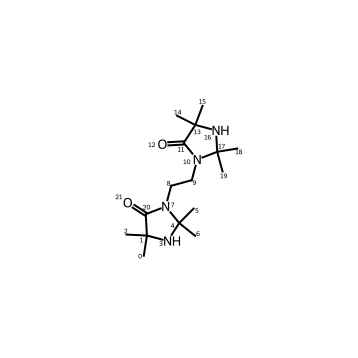 CC1(C)NC(C)(C)N(CCN2C(=O)C(C)(C)NC2(C)C)C1=O